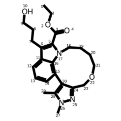 CCOC(=O)c1c(CCCO)c2cccc3c2n1CCCCOCc1nn(C)c(C)c1-3